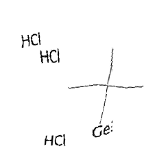 C[C](C)(C)[Ge].Cl.Cl.Cl